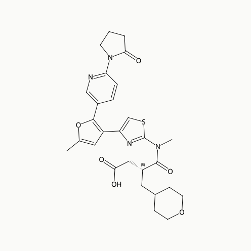 Cc1cc(-c2csc(N(C)C(=O)[C@@H](CC(=O)O)CC3CCOCC3)n2)c(-c2ccc(N3CCCC3=O)nc2)o1